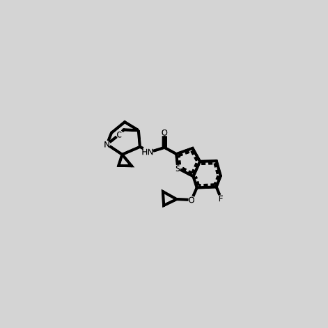 O=C(NC1C2CCN(CC2)C12CC2)c1cc2ccc(F)c(OC3CC3)c2s1